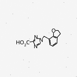 O=C(O)c1ncn(Cc2cccc3c2OCC3)n1